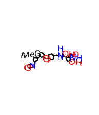 COc1ccc(Oc2ccc(CCNC[C@H](O)c3ccc(O)c4[nH]c(=O)ccc34)cc2)cc1-c1cccc(CN2CCOCC2)c1